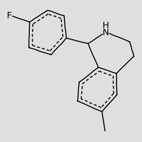 Cc1ccc2c(c1)CCNC2c1ccc(F)cc1